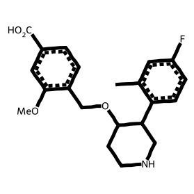 COc1cc(C(=O)O)ccc1COC1CCNCC1c1ccc(F)cc1C